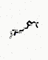 CCN(C)Cc1ccc(CSCCN/C(=C/[N+](=O)[O-])NC)o1